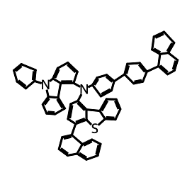 c1ccc(-n2c3ccccc3c3c(N(c4ccc(-c5ccc(-c6cccc7ccccc67)cc5)cc4)c4ccc(-c5cccc6ccccc56)c5sc6ccccc6c45)cccc32)cc1